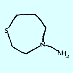 NN1CCCSCC1